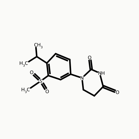 CC(C)c1ccc(N2CCC(=O)NC2=O)cc1S(C)(=O)=O